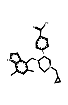 Cc1cc(C)c2[nH]ccc2c1C[C@@H]1CCN(CC2CC2)C[C@H]1c1ccc(C(=O)O)cc1